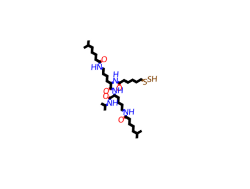 CC(C)CCCCC(=O)NCCCCC(NC(=O)CCCCCSS)C(=O)NC(CCCCNC(=O)CCCCC(C)C)C(=O)NC(C)C